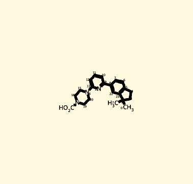 CC1(C)CCc2ccc(-c3cccc(N4CCN(C(=O)O)CC4)n3)cc21